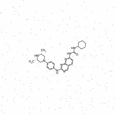 C[C@@H]1CN(c2ccc(Nc3ncc4ccc(NC(=O)NC5CCCCC5)nc4n3)cc2)C[C@H](C)N1